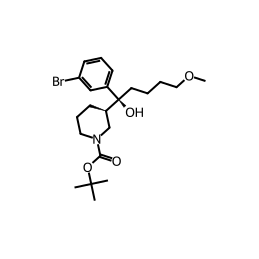 COCCCC[C@@](O)(c1cccc(Br)c1)[C@@H]1CCCN(C(=O)OC(C)(C)C)C1